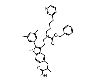 Cc1cc(C)cc(-c2[nH]c3ccc(CC(C)C(=O)O)cc3c2CCN(CCCCc2cccnc2)C(=O)OCc2ccccc2)c1